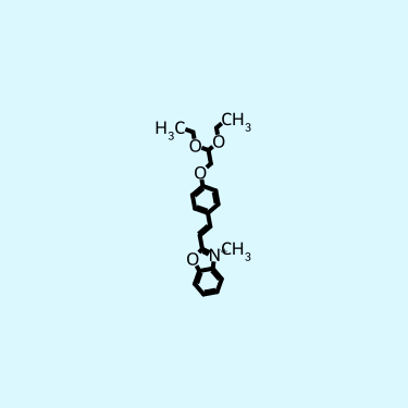 CCOC(COc1ccc(C=Cc2oc3ccccc3[n+]2C)cc1)OCC